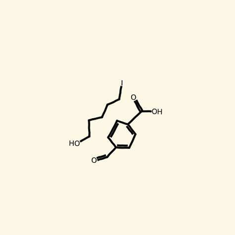 O=Cc1ccc(C(=O)O)cc1.OCCCCCI